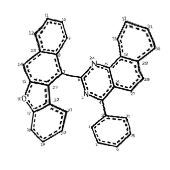 c1ccc(-c2nc(-c3c4ccccc4cc4oc5ccccc5c34)nc3c2ccc2ccccc23)cc1